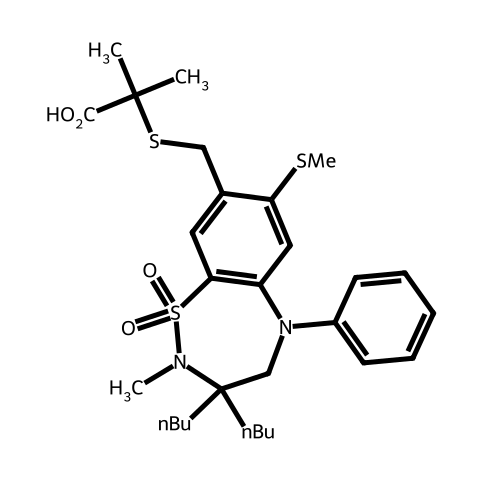 CCCCC1(CCCC)CN(c2ccccc2)c2cc(SC)c(CSC(C)(C)C(=O)O)cc2S(=O)(=O)N1C